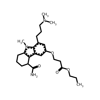 CCCOC(=O)CCOc1cc(CCCN(C)C)c2c(c1)c1c(n2C)CCCC1C(N)=O